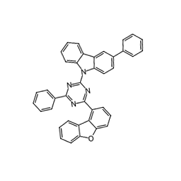 c1ccc(-c2ccc3c(c2)c2ccccc2n3-c2nc(-c3ccccc3)nc(-c3cccc4oc5ccccc5c34)n2)cc1